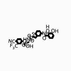 N#Cc1ccc(OP(=O)(O)CNS(=O)(=O)c2cc3cc(NC(=O)c4cccc(O)c4O)ccc3s2)cc1C(F)(F)F